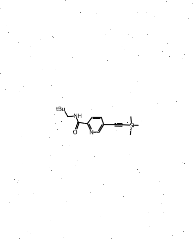 CC(C)(C)CNC(=O)c1ccc(C#C[Si](C)(C)C)cn1